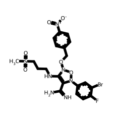 CS(=O)(=O)CCCNC1=C(C(=N)N)N(c2ccc(F)c(Br)c2)ON1OCc1ccc([N+](=O)[O-])cc1